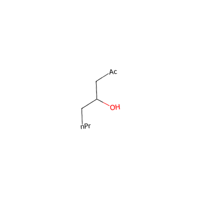 CCCCC(O)CC(C)=O